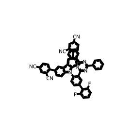 N#Cc1ccc(-c2ccc3c(c2)c2cc(-c4ccc(C#N)cc4C#N)ccc2n3-c2ccc(-c3c(F)cccc3F)cc2-c2nc(-c3ccccc3)nc(-c3ccccc3)n2)c(C#N)c1